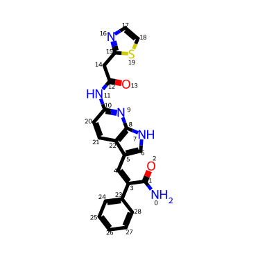 NC(=O)/C(=C\c1c[nH]c2nc(NC(=O)Cc3nccs3)ccc12)c1ccccc1